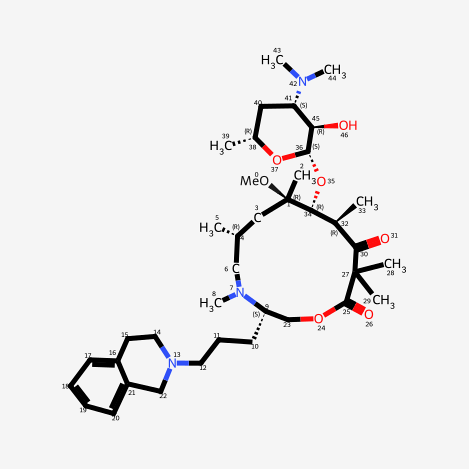 CO[C@]1(C)C[C@@H](C)CN(C)[C@@H](CCCN2CCc3ccccc3C2)COC(=O)C(C)(C)C(=O)[C@H](C)[C@H]1O[C@@H]1O[C@H](C)C[C@H](N(C)C)[C@H]1O